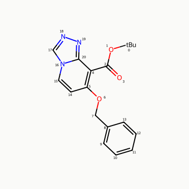 CC(C)(C)OC(=O)c1c(OCc2ccccc2)ccn2cnnc12